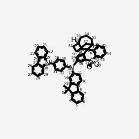 CC1(C)c2ccccc2-c2ccc(N(c3ccc(-n4c5ccccc5c5ccccc54)cc3)c3ccc4c(c3)S(=O)(=O)c3ccccc3C43C4C5C[C@H]4CCC[C@H]3C5)cc21